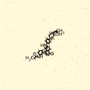 C=CC(=O)Nc1cccc(-n2cnc(=O)c3cnc(Nc4ccc(N5CCN(C[C@H](C)O)CC5)cc4)nc32)c1